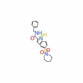 O=C(NCc1ccccc1)c1cc2cc(S(=O)(=O)N3CCCCCC3)ccc2n1S